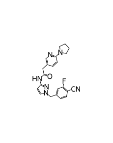 N#Cc1ccc(Cn2ccc(NC(=O)Cc3ccc(N4CCCC4)nc3)n2)cc1F